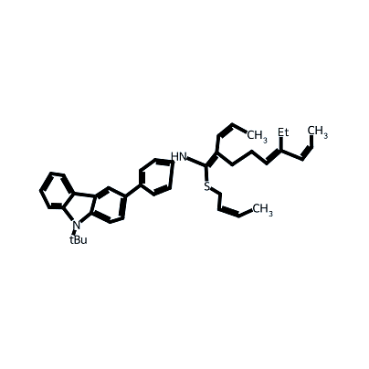 C/C=C\CS/C(Nc1ccc(-c2ccc3c(c2)c2ccccc2n3C(C)(C)C)cc1)=C(/C=C\C)CC/C=C(/C=C\C)CC